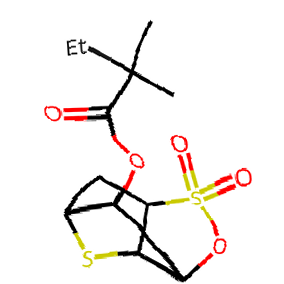 CCC(C)(C)C(=O)OC1C2CC3C(S2)C1OS3(=O)=O